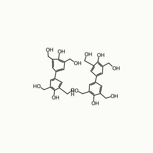 OCc1cc(-c2cc(CO)c(O)c(CO)c2)cc(CO)c1O.OCc1cc(-c2cc(CO)c(O)c(CO)c2)cc(CO)c1O